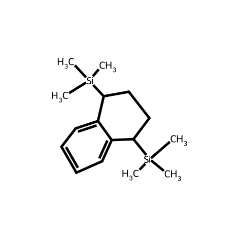 C[Si](C)(C)C1CCC([Si](C)(C)C)c2ccccc21